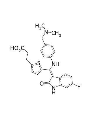 CN(C)Cc1ccc(NC(=C2C(=O)Nc3cc(F)ccc32)c2ccc(CCC(=O)O)s2)cc1